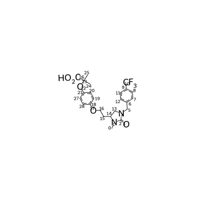 CN1C(=O)N(Cc2ccc(C(F)(F)F)cc2)CC1CCOc1ccc(OC(C)(C)C(=O)O)cc1